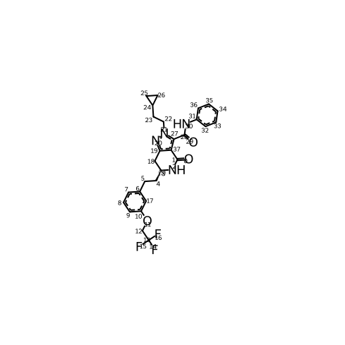 O=C1N[C@@H](CCc2cccc(OCC(F)(F)F)c2)Cc2nn(CCC3CC3)c(C(=O)Nc3ccccc3)c21